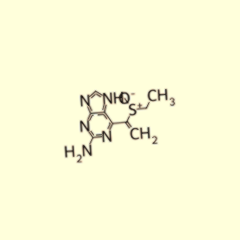 C=C(c1nc(N)nc2nc[nH]c12)[S+]([O-])CC